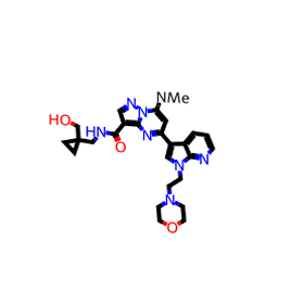 CNc1cc(-c2cn(CCN3CCOCC3)c3ncccc23)nc2c(C(=O)NCC3(CO)CC3)cnn12